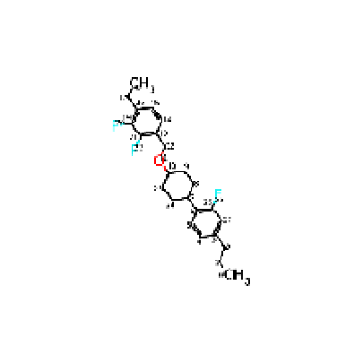 CCCc1ccc(C2CCC(OCc3ccc(CC)c(F)c3F)CC2)c(F)c1